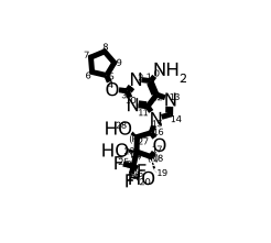 Nc1nc(OC2CCCC2)nc2c1ncn2C1O[C@H](CO)[C@](O)(C(F)(F)F)[C@H]1O